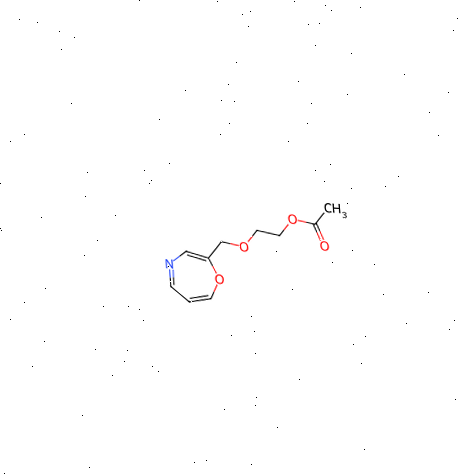 CC(=O)OCCOCC1=CN=CC=CO1